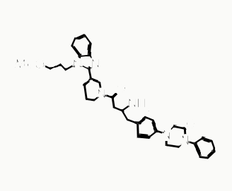 COCCCn1c(C2CCCN(C(=O)CC(N)Cc3ccc(N4CCN(c5ccccc5)C(=O)C4)cc3)C2)nc2ccccc21